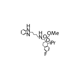 COCC(=O)OC1(CCNCCCCc2nc3ccccc3[nH]2)CCc2cc(F)ccc2C1C(C)C